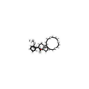 CC(C)(C)OC(=O)N1CCC2(CCCCCCCCCCCCC2N2CCC(c3ccccc3OC(F)(F)F)CC2)C1